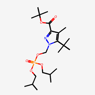 Cc1c(C(=O)OC(C)(C)C)nn(COP(=O)(OCC(C)C)OCC(C)C)c1C(C)(C)C